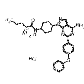 CCC[C@H](N)C(=O)NC1CCC(n2ncc3c(N)nc(-c4ccc(Oc5ccccc5)cc4)nc32)CC1.Cl